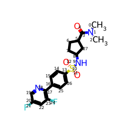 CN(C)C(=O)C1CCC(NS(=O)(=O)c2ccc(-c3ncc(F)cc3F)cc2)C1